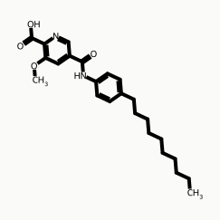 CCCCCCCCCCc1ccc(NC(=O)c2cnc(C(=O)O)c(OC)c2)cc1